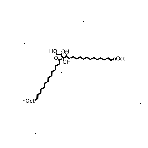 CCCCCCCCC=CCCCCCCCCCCCC(=O)C(O)(C(=O)CCCCCCCCCCCC=CCCCCCCCC)C(O)CO